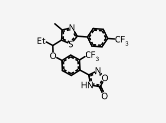 CCC(Oc1ccc(-c2noc(=O)[nH]2)c(C(F)(F)F)c1)c1sc(-c2ccc(C(F)(F)F)cc2)nc1C